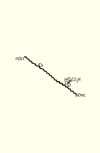 CCCCCCCC/C=C\CCCCCCCC(=O)CCCCCCCCCCCCCCCCCC(CCCCCCCCCCCCCCCCCC)OC(=O)C(O)CC(=O)O